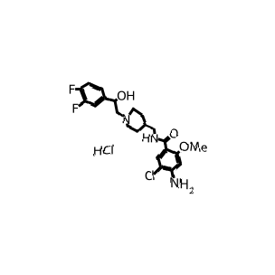 COc1cc(N)c(Cl)cc1C(=O)NCC1CCN(CC(O)c2ccc(F)c(F)c2)CC1.Cl